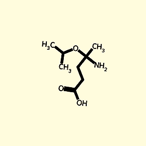 CC(C)OC(C)(N)CCC(=O)O